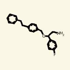 NCC(OCc1ccc(CCc2ccccc2)cc1)c1ccc(F)cc1